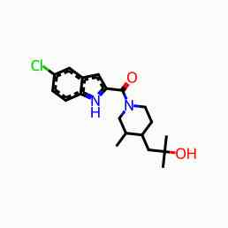 CC1CN(C(=O)c2cc3cc(Cl)ccc3[nH]2)CCC1CC(C)(C)O